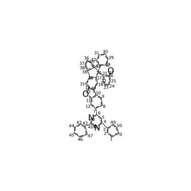 c1ccc(-c2cc(-c3ccc4c(c3)oc3cc5c(cc34)C3(c4ccccc4Oc4ccccc43)c3ccccc3-5)nc(-c3ccccc3)n2)cc1